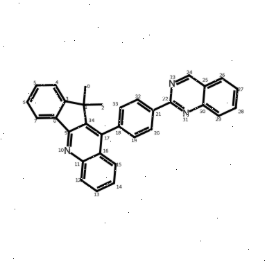 CC1(C)c2ccccc2-c2nc3ccccc3c(-c3ccc(-c4ncc5ccccc5n4)cc3)c21